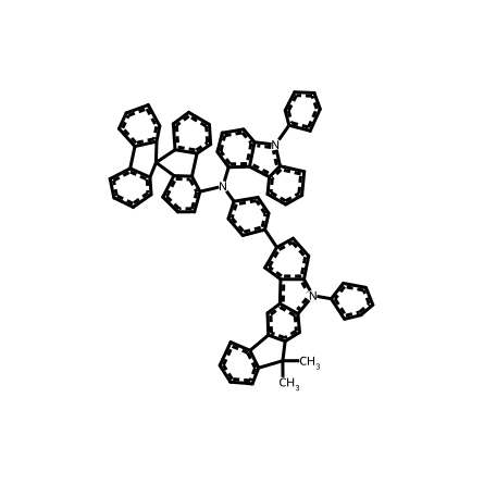 CC1(C)c2ccccc2-c2cc3c4cc(-c5ccc(N(c6cccc7c6-c6ccccc6C76c7ccccc7-c7ccccc76)c6cccc7c6c6ccccc6n7-c6ccccc6)cc5)ccc4n(-c4ccccc4)c3cc21